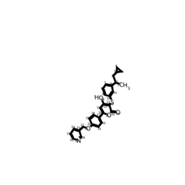 CC(CC1CC1)c1cccc(Sc2c(O)cc(-c3ccc(OCc4cccnc4)cc3)oc2=O)c1